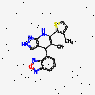 Cc1ccsc1C1=C(C#N)C(c2cccc3nonc23)c2c[nH]nc2N1